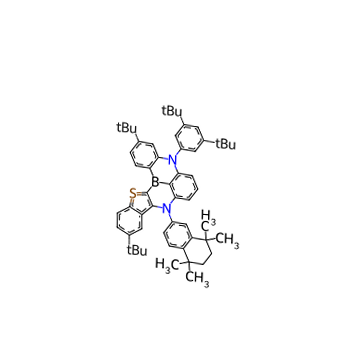 CC(C)(C)c1cc(N2c3cc(C(C)(C)C)ccc3B3c4sc5ccc(C(C)(C)C)cc5c4N(c4ccc5c(c4)C(C)(C)CCC5(C)C)c4cccc2c43)cc(C(C)(C)C)c1